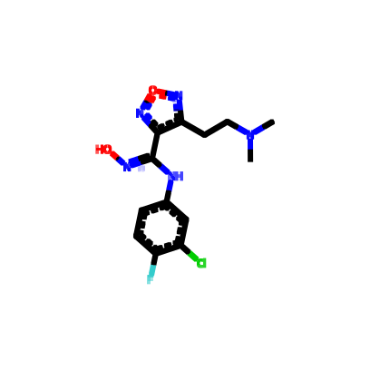 CN(C)CCc1nonc1/C(=N\O)Nc1ccc(F)c(Cl)c1